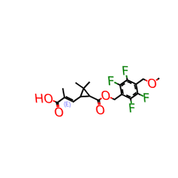 COCc1c(F)c(F)c(COC(=O)C2C(/C=C(\C)C(=O)O)C2(C)C)c(F)c1F